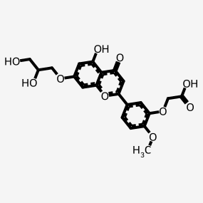 COc1ccc(-c2cc(=O)c3c(O)cc(OCC(O)CO)cc3o2)cc1OCC(=O)O